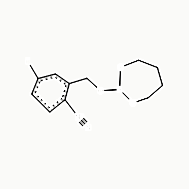 N#[N+]c1ccc(F)cc1COB1OCCCCO1